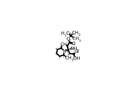 CC1CCCC(C)N1[C@@](N)(CC(=O)O)CC(=O)OC(C)(C)C